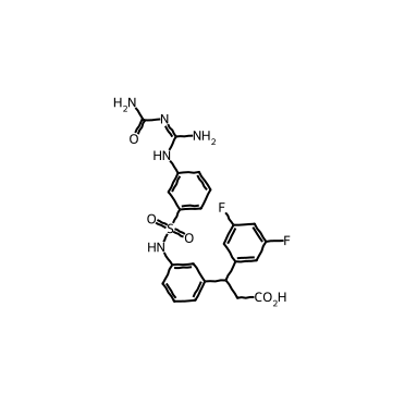 NC(=O)/N=C(/N)Nc1cccc(S(=O)(=O)Nc2cccc(C(CC(=O)O)c3cc(F)cc(F)c3)c2)c1